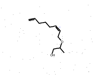 C=CCCC/C=C\COC(C)CO